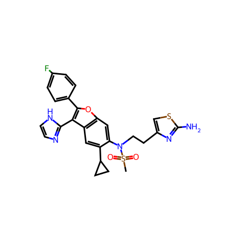 CS(=O)(=O)N(CCc1csc(N)n1)c1cc2oc(-c3ccc(F)cc3)c(-c3ncc[nH]3)c2cc1C1CC1